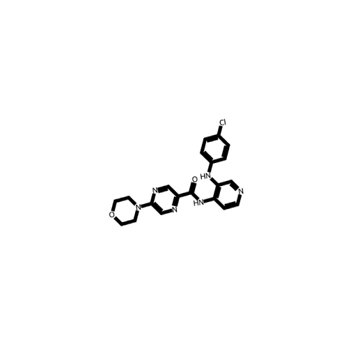 O=C(Nc1ccncc1Nc1ccc(Cl)cc1)c1cnc(N2CCOCC2)cn1